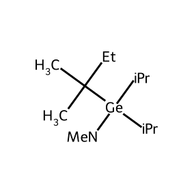 CC[C](C)(C)[Ge]([NH]C)([CH](C)C)[CH](C)C